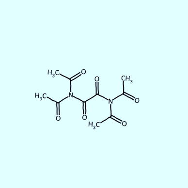 CC(=O)N(C(C)=O)C(=O)C(=O)N(C(C)=O)C(C)=O